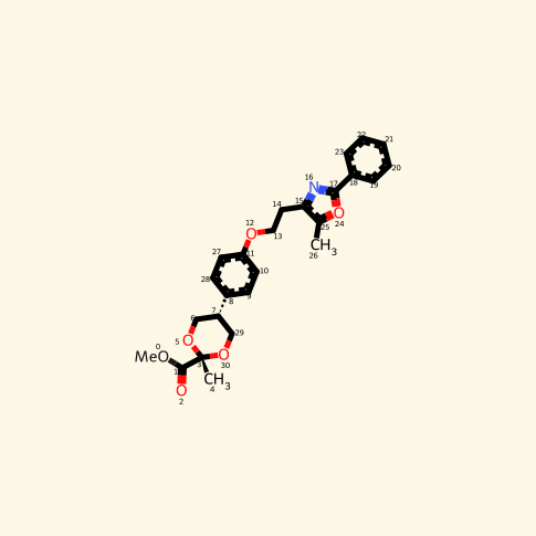 COC(=O)[C@]1(C)OC[C@H](c2ccc(OCCc3nc(-c4ccccc4)oc3C)cc2)CO1